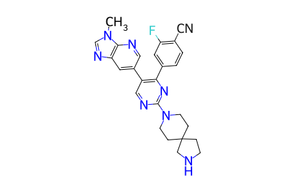 Cn1cnc2cc(-c3cnc(N4CCC5(CCNC5)CC4)nc3-c3ccc(C#N)c(F)c3)cnc21